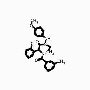 CCN(Nc1ccc(OC)cc1)C(=O)C(NC(=O)c1cccc(C)c1)c1ccccc1Cl